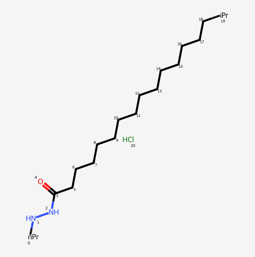 CCCNNC(=O)CCCCCCCCCCCCCCC(C)C.Cl